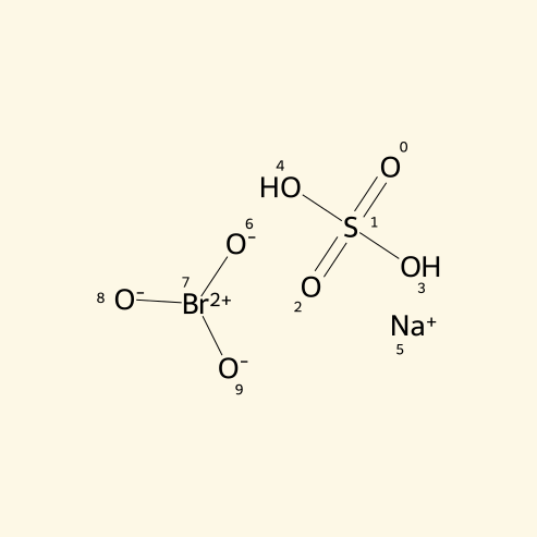 O=S(=O)(O)O.[Na+].[O-][Br+2]([O-])[O-]